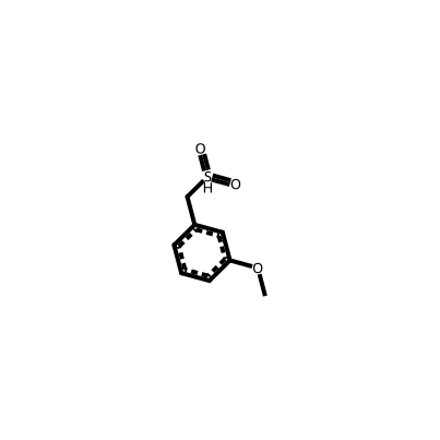 COc1cccc(C[SH](=O)=O)c1